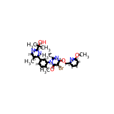 COc1cccc(COc2nc(C)n(-c3cc(-c4nc(C(C)(C)O)ncc4C)ccc3C)c(=O)c2Br)n1